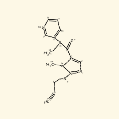 C#CCSc1ncc(C(=O)N(C)c2cccnc2)n1C